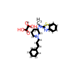 CN(c1nc2ccccc2s1)C1CCCN(CC=Cc2ccccc2)C1.O=C(O)C(=O)O